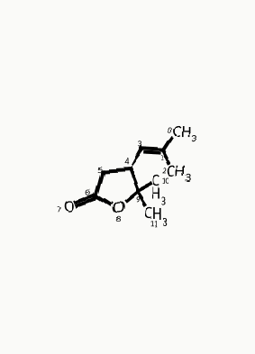 CC(C)=C[C@@H]1CC(=O)OC1(C)C